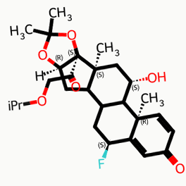 CC(C)OCC(=O)[C@@]12OC(C)(C)O[C@@H]1CC1C3C[C@H](F)C4=CC(=O)C=C[C@]4(C)C3[C@@H](O)C[C@@]12C